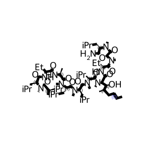 C/C=C/C[C@@H](C)[C@H](O)C(C(=O)N[C@H](CC)C(=O)N(C)CC(=O)N(C)[C@@H](CC(C)C)C(N)=O)N(C)C(=O)[C@H](C(C)C)N(C)C(=O)[C@@H](CC(C)C)N(C)C(=O)[C@H](CC(C)C)N(C)C(=O)[C@H](C)NC(=O)C(CC)NC(=O)[C@H](CC(C)C)N(C)C(=O)[C@H](C)C(C)C